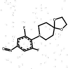 O=Nc1cc(F)c(N2CCC3(CC2)OCCO3)c(F)c1